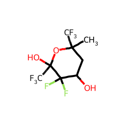 CC1(C(F)(F)F)CC(O)C(F)(F)C(O)(C(F)(F)F)O1